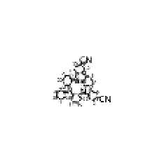 N#Cc1ccc2c(c1)c1ccc3c4cc(C#N)ccc4n4c5ccccc5n(-c5ccccc5)c5ccccc5n2c1c34